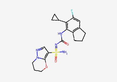 NS(=O)(=NC(=O)Nc1c2c(cc(F)c1C1CC1)CCC2)c1cnn2c1OCCC2